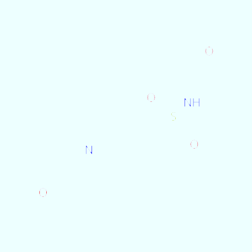 O=CNS(=O)(=O)CCN1CCOCC1